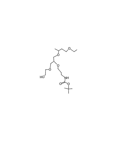 CCOCCC(C)OCC(COCCO)OCCCNC(=O)OC(C)(C)C